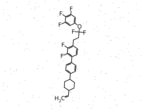 C=CC1CCC(c2ccc(-c3ccc(CCC(F)(F)Oc4cc(F)c(F)c(F)c4)c(F)c3F)cc2)CC1